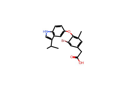 Cc1cc(CC(=O)O)cc(Br)c1Oc1ccc2[nH]cc(C(C)C)c2c1